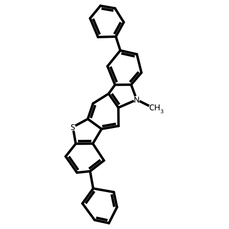 Cn1c2ccc(-c3ccccc3)cc2c2cc3sc4ccc(-c5ccccc5)cc4c3cc21